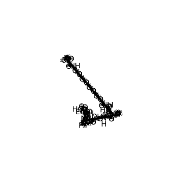 CC[C@@]1(O)C(=O)OCc2c1cc1n(c2=O)Cc2c-1nc1cc(F)c(C)c3c1c2[C@@H](NC(=O)[C@H](O)CCOCNC(=O)CNC(=O)[C@H](Cc1ccccc1)NC(=O)CNC(=O)CNC(=O)CCOCCOCCOCCOCCOCCOCCOCCOCCNC(=O)CCN1C(=O)C=CC1=O)CC3